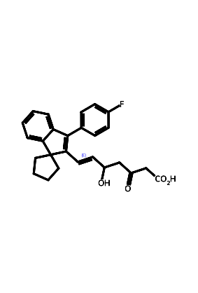 O=C(O)CC(=O)CC(O)/C=C/C1=C(c2ccc(F)cc2)c2ccccc2C12CCCC2